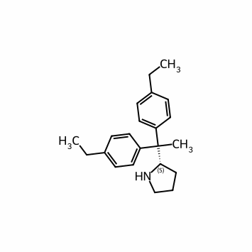 CCc1ccc(C(C)(c2ccc(CC)cc2)[C@@H]2CCCN2)cc1